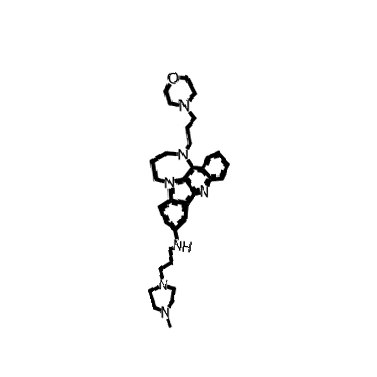 CN1CCN(CCCNc2ccc3c(c2)c2nc4ccccc4c4c2n3CCCN4CCCN2CCOCC2)CC1